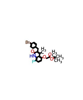 Cc1c(Cc2ccc(Br)cc2)c(=O)[nH]c2c(F)ccc(OCC(=O)OC(C)(C)C)c12